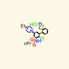 CCCS(=O)(=O)Nc1cc(N2CCN(CC)CC2)cc(-c2ccccc2C)c1Cl.Cl